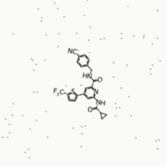 N#Cc1ccc(CNC(=O)c2cc(-c3ccc(C(F)(F)F)s3)cc(NC(=O)C3CC3)n2)cc1